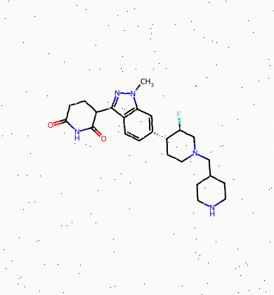 Cn1nc(C2CCC(=O)NC2=O)c2ccc([C@H]3CCN(CC4CCNCC4)C[C@@H]3F)cc21